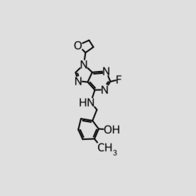 Cc1cccc(CNc2nc(F)nc3c2ncn3C2CCO2)c1O